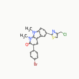 Cn1c(=O)c(-c2ccc(Br)cc2)cc2c3cc(-c4nc(CCl)cs4)ccc3n(C)c21